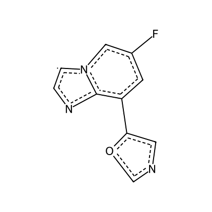 Fc1cc(-c2cnco2)c2nc[c]n2c1